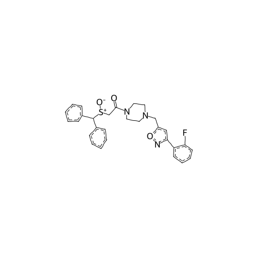 O=C(C[S+]([O-])C(c1ccccc1)c1ccccc1)N1CCN(Cc2cc(-c3ccccc3F)no2)CC1